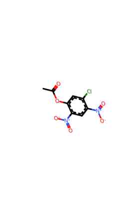 CC(=O)Oc1cc(Cl)c([N+](=O)[O-])cc1[N+](=O)[O-]